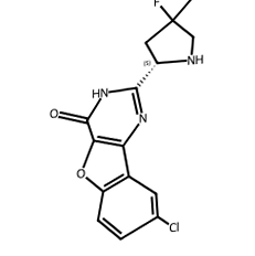 O=c1[nH]c([C@@H]2CC(F)(F)CN2)nc2c1oc1ccc(Cl)cc12